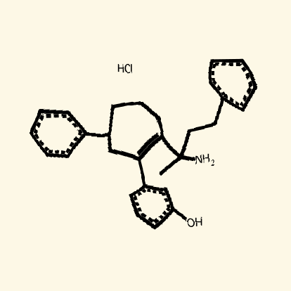 CC(N)(CCc1ccccc1)C1=C(c2cccc(O)c2)CC(c2ccccc2)CCC1.Cl